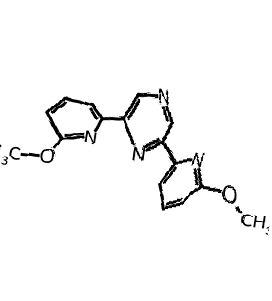 COc1cccc(-c2cncc(-c3cccc(OC)n3)n2)n1